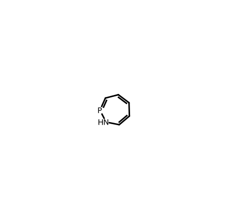 C1=CC=PNC=C1